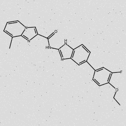 CCOc1ccc(-c2ccc3[nH]c(NC(=O)c4cn5cccc(C)c5n4)nc3c2)cc1F